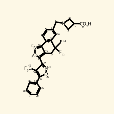 O=C(O)C1CN(Cc2ccc3c(c2)C(F)(F)Cc2c-3noc2-c2noc(-c3ccccc3)c2C(F)(F)F)C1